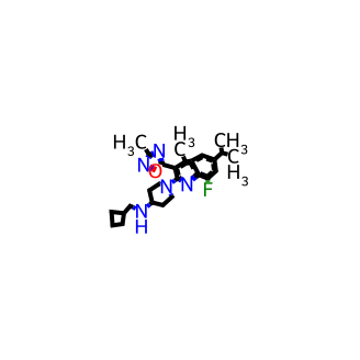 Cc1noc(-c2c(N3CCC(NCC4CCC4)CC3)nc3c(F)cc(C(C)C)cc3c2C)n1